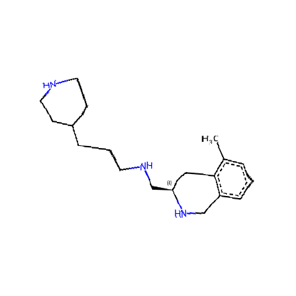 Cc1cccc2c1C[C@H](CNCCCC1CCNCC1)NC2